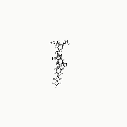 Cc1ccc(Oc2nc3cc(Cl)c(-c4ccc(N5CC6(CCC6)C5)cc4)nc3[nH]2)cc1C(=O)O